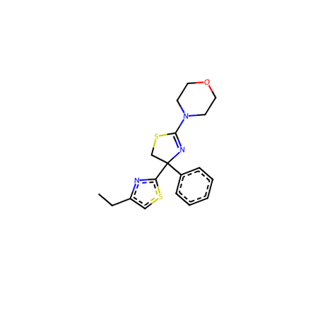 CCc1csc(C2(c3ccccc3)CSC(N3CCOCC3)=N2)n1